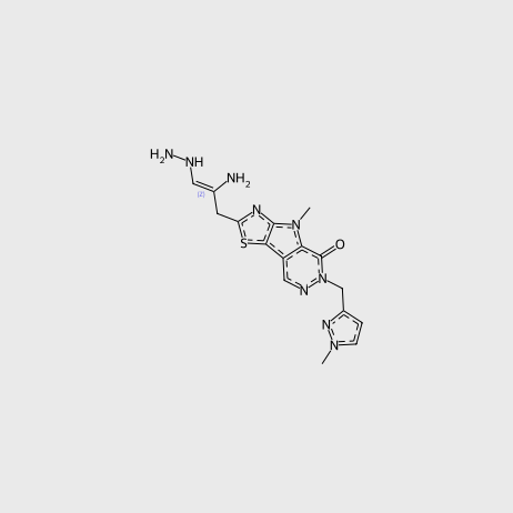 Cn1ccc(Cn2ncc3c4sc(C/C(N)=C/NN)nc4n(C)c3c2=O)n1